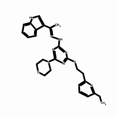 CCc1cccc(CCOc2nc(NN=C(C)c3c[nH]c4ccccc34)nc(N3CCOCC3)n2)n1